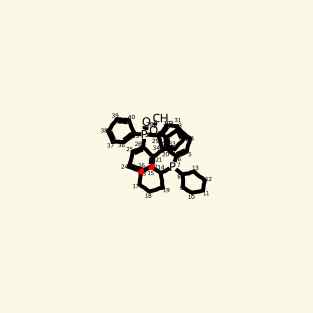 COc1cccc(P(C2CCCCC2)C2CCCCC2)c1-c1ccccc1P(=O)(c1ccccc1)c1ccccc1